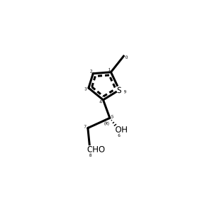 Cc1ccc([C@H](O)CC=O)s1